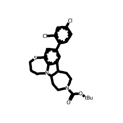 CC(C)(C)OC(=O)N1CCC2c3cc(-c4ccc(Cl)cc4Cl)cc4c3N(CCCS4)C2CC1